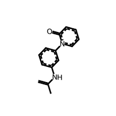 C=C(C)Nc1cccc(-n2ccccc2=O)c1